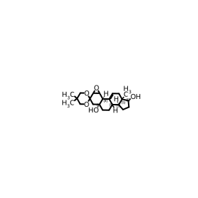 CC1(C)COC2(C[C@]3(O)CC[C@@H]4C(=CC[C@]5(C)[C@@H](O)CC[C@@H]45)[C@@H]3C3OC32)OC1